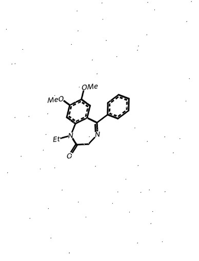 CCN1C(=O)CN=C(c2ccccc2)c2cc(OC)c(OC)cc21